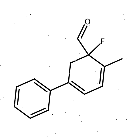 CC1=CC=C(c2ccccc2)CC1(F)C=O